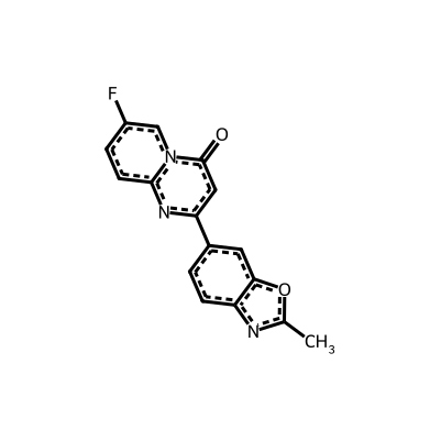 Cc1nc2ccc(-c3cc(=O)n4cc(F)ccc4n3)cc2o1